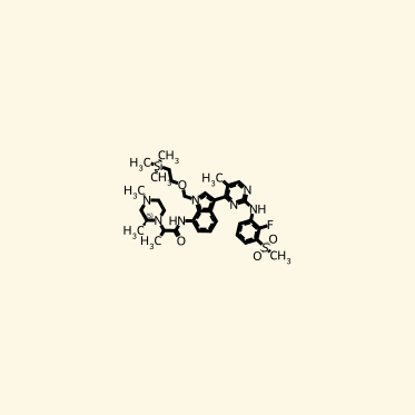 Cc1cnc(Nc2cccc(S(C)(=O)=O)c2F)nc1-c1cn(COCC[Si](C)(C)C)c2c(NC(=O)C(C)N3CCN(C)C[C@@H]3C)cccc12